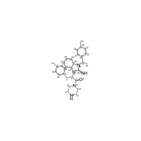 Cc1ccc(CC(C(=O)N2CCNCC2)n2c(=N)n(C(C)c3ccc(C)cc3)c3ccccc32)cc1